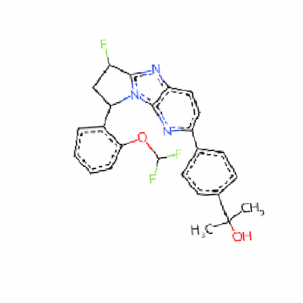 CC(C)(O)c1ccc(-c2ccc3nc4n(c3n2)C(c2ccccc2OC(F)F)CC4F)cc1